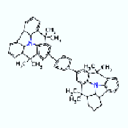 CC1(C)C2=CC=CC3C4=CC=CC5C4N(c4c1cc(-c1ccc(-c6cc7c8c(c6)C(C)(C)C6CCCC9c%10cccc(c%10N8C96)C7(C)C)cc1)cc4C5(C)C)C23